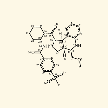 COC[C@@H]1Nc2ccccc2[C@H]2[C@H]1CCN2C(=O)[C@H]1CCCC[C@H]1NC(=O)c1ccc(S(C)(=O)=O)cc1